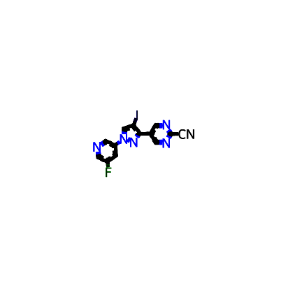 N#Cc1ncc(-c2nn(-c3cncc(F)c3)cc2I)cn1